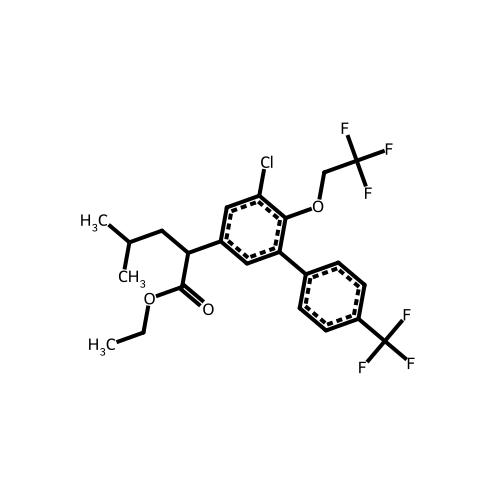 CCOC(=O)C(CC(C)C)c1cc(Cl)c(OCC(F)(F)F)c(-c2ccc(C(F)(F)F)cc2)c1